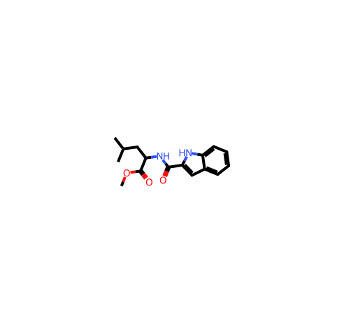 COC(=O)C(CC(C)C)NC(=O)c1cc2ccccc2[nH]1